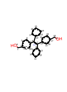 OCc1ccc(/C(=C(\c2ccccc2)c2ccc(CO)cc2)c2ccccc2)cc1